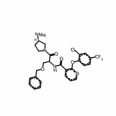 CN[C@@H]1CCN(C(=O)C(COCc2ccccc2)NC(=O)c2cccnc2Oc2ccc(C(F)(F)F)cc2Cl)C1